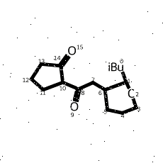 CCC(C)C1CCCCC1CC(=O)C1CCCC1=O